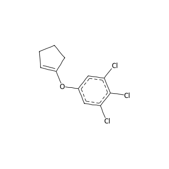 Clc1cc(OC2=CCCC2)cc(Cl)c1Cl